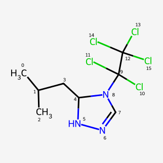 CC(C)CC1NN=CN1C(Cl)(Cl)C(Cl)(Cl)Cl